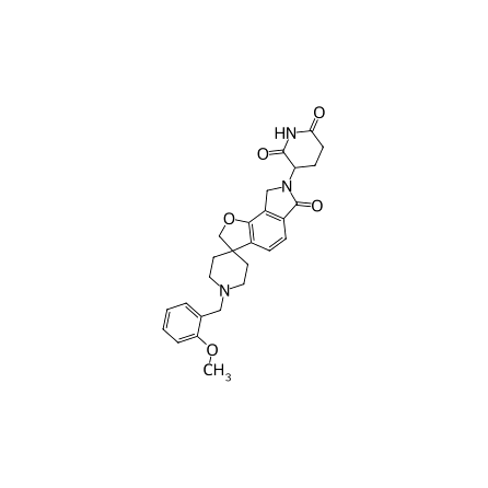 COc1ccccc1CN1CCC2(CC1)COc1c2ccc2c1CN(C1CCC(=O)NC1=O)C2=O